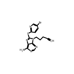 C#CCCCn1c(Sc2ccc(Br)cn2)nc2c(N)ncnc21